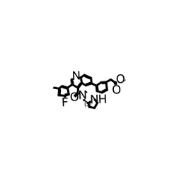 COC(=O)Cc1cccc(-c2ccc3ncc(-c4cc(C)cc(F)c4)c(C(=O)N(C)C[C@@H]4CCCN4)c3c2)c1